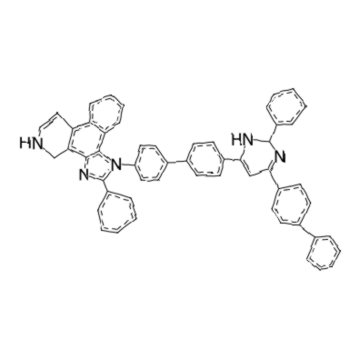 C1=Cc2c(c3nc(-c4ccccc4)n(-c4ccc(-c5ccc(C6=CC(c7ccc(-c8ccccc8)cc7)=NC(c7ccccc7)N6)cc5)cc4)c3c3ccccc23)CN1